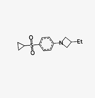 CCC1CN(c2ccc(S(=O)(=O)C3CC3)cc2)C1